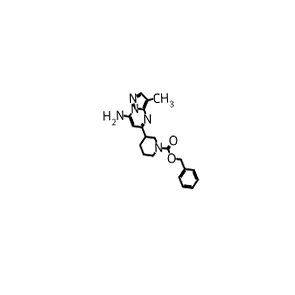 Cc1cnn2c(N)cc(C3CCCN(C(=O)OCc4ccccc4)C3)nc12